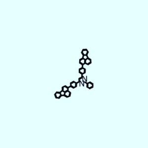 c1ccc(-c2nc(-c3ccc(-c4ccc5c6c(cccc46)-c4ccccc4-5)cc3)cc(-c3ccc(-c4ccc5c6c(cccc46)-c4ccccc4-5)cc3)n2)cc1